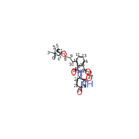 CC(C)(C)[Si](C)(C)OCCCc1cccc2c1C(=O)N(C1C=CC(=O)NC1=O)C2=O